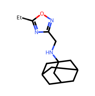 CCc1nc(CNC23CC4CC(CC(C4)C2)C3)no1